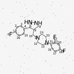 Fc1ccc(C2NNCC2CN2CCN(c3ccc(F)cc3F)CC2)cc1